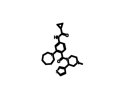 CN1CCN(C(=O)c2ccc(NC(=O)C3CC3)cc2N2CCCCCC2)C(c2ccsc2)C1